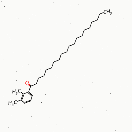 CCCCCCCCCCCCCCCCCCCC(=O)c1cccc(C)c1C